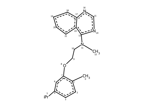 Cc1ccc(C(C)C)cc1OCCN(C)c1ncnc2ccccc12